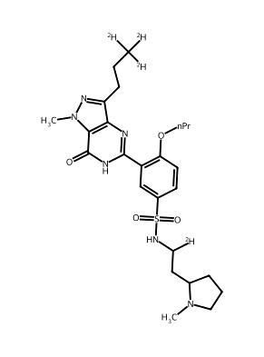 [2H]C(CC1CCCN1C)NS(=O)(=O)c1ccc(OCCC)c(-c2nc3c(CCC([2H])([2H])[2H])nn(C)c3c(=O)[nH]2)c1